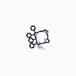 Nc1c(-c2ccccc2)c2[nH]c1cc1nc(cc3ccc(cc4nc(c2-c2ccccc2)C(c2ccccc2)=C4c2ccccc2)[nH]3)C=C1